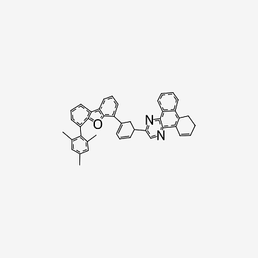 Cc1cc(C)c(-c2cccc3c2oc2c(C4=CC=CC(c5cnc6c7c(c8ccccc8c6n5)CCC=C7)C4)cccc23)c(C)c1